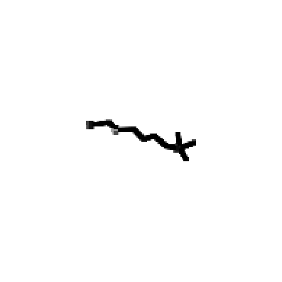 C[Si](C)(C)CCCCOCCl